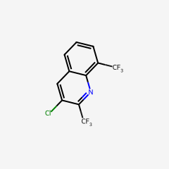 FC(F)(F)c1nc2c(C(F)(F)F)cccc2cc1Cl